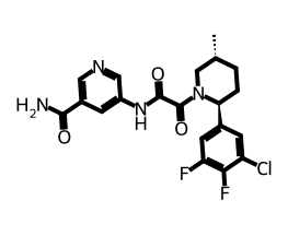 C[C@@H]1CC[C@@H](c2cc(F)c(F)c(Cl)c2)N(C(=O)C(=O)Nc2cncc(C(N)=O)c2)C1